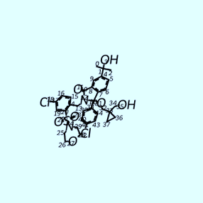 CC(C)(O)c1ccc2c(c1)C(=O)N(Cc1ccc(Cl)cc1S(=O)(=O)N1CCOCC1)[C@@]2(OCC1(CO)CC1)c1ccc(Cl)cc1